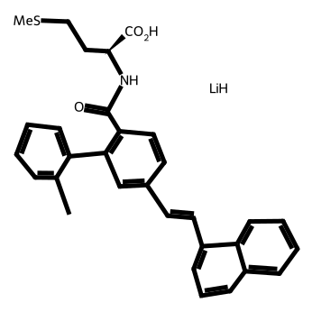 CSCC[C@H](NC(=O)c1ccc(C=Cc2cccc3ccccc23)cc1-c1ccccc1C)C(=O)O.[LiH]